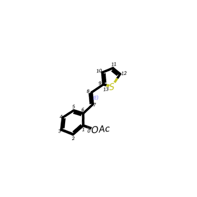 CC(=O)Oc1ccccc1/C=C/c1cccs1